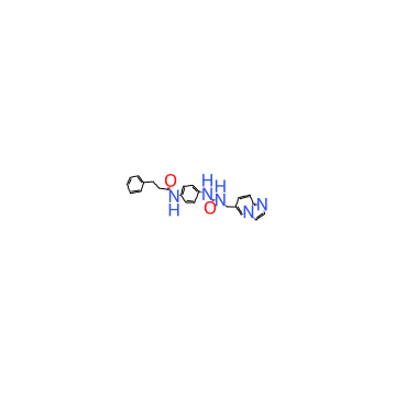 O=C(CCc1ccccc1)Nc1ccc(NC(=O)NCc2ccc3nccn3c2)cc1